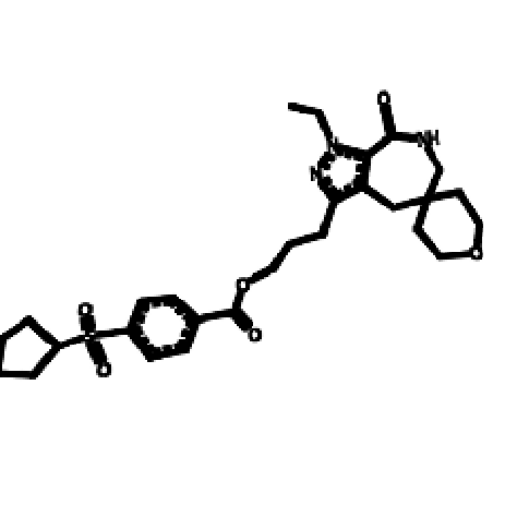 CCn1nc(CCCOC(=O)c2ccc(S(=O)(=O)C3CCCC3)cc2)c2c1C(=O)NCC1(CCOCC1)C2